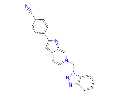 N#Cc1ccc(-c2cc3ccn(Cn4nnc5ccccc54)cc-3n2)cc1